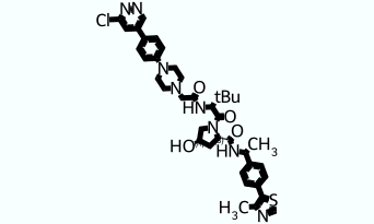 Cc1ncsc1-c1ccc(C(C)NC(=O)[C@@H]2C[C@@H](O)CN2C(=O)C(NC(=O)CN2CCN(c3ccc(-c4cnnc(Cl)c4)cc3)CC2)C(C)(C)C)cc1